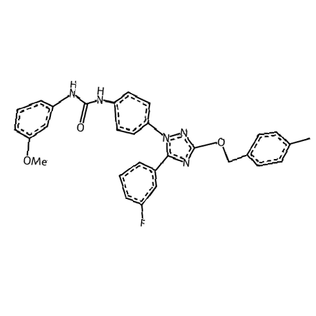 COc1cccc(NC(=O)Nc2ccc(-n3nc(OCc4ccc(C)cc4)nc3-c3cccc(F)c3)cc2)c1